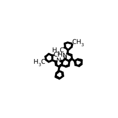 CC1CCC(C)C(c2cc(-c3ccccc3)c3ccc4c(-c5ccccc5)cc(C5CC(C)CCC5C)nc4c3n2)C1